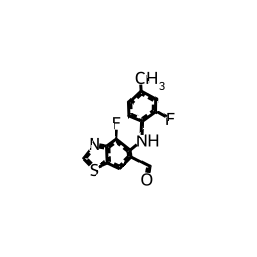 Cc1ccc(Nc2c(C=O)cc3scnc3c2F)c(F)c1